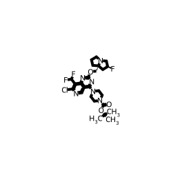 CC(C)(C)OC(=O)N1CCN(c2nc(OC[C@]34CCCN3C[C@@H](F)C4)nc3c(C(F)F)c(Cl)ncc23)CC1